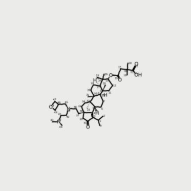 CC(C)C1=C2[C@H]3CC[C@@H]4[C@@]5(C)CC[C@H](OC(=O)CC(C)(C)C(=O)O)C(C)(C)[C@@H]5CC[C@@]4(C)[C@]3(C)CC[C@@]2(CCN(CCN(C)C)CC2COC2)CC1=O